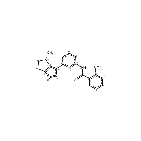 COc1ncccc1C(=O)Nc1cccc(-c2nnc3n2[C@@H](C)CC3)n1